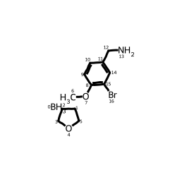 B.C1CCOC1.COc1ccc(CN)cc1Br